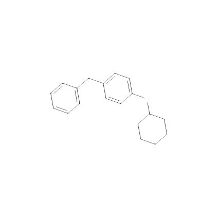 [c]1cccc(Cc2ccc(OC3CCCCC3)cc2)c1